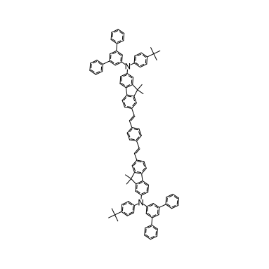 CC(C)(C)c1ccc(N(c2cc(-c3ccccc3)cc(-c3ccccc3)c2)c2ccc3c(c2)C(C)(C)c2cc(/C=C/c4ccc(/C=C/c5ccc6c(c5)C(C)(C)c5cc(N(c7ccc(C(C)(C)C)cc7)c7cc(-c8ccccc8)cc(-c8ccccc8)c7)ccc5-6)cc4)ccc2-3)cc1